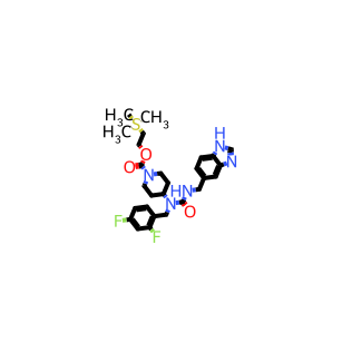 CS(C)(C)CCOC(=O)N1CCC(N(Cc2ccc(F)cc2F)C(=O)NCc2ccc3[nH]cnc3c2)CC1